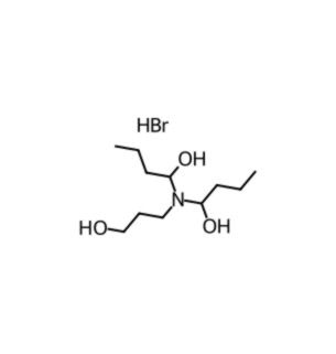 Br.CCCC(O)N(CCCO)C(O)CCC